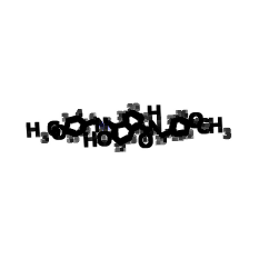 COc1ccc(C/N=C/c2c(O)ccc3c(C(=O)NCc4ccc(OC)cc4)cccc23)cc1